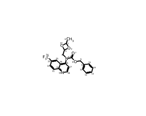 CC1OC(CN(C(=O)OCc2ccccc2)c2ccnc3ccc(C(F)(F)F)cc23)O1